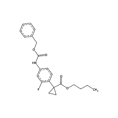 CCCCOC(=O)C1(c2ccc(NC(=O)OCc3ccccc3)cc2F)CC1